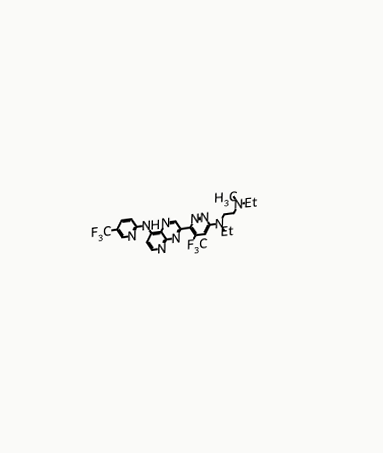 CCN(C)CCN(CC)c1cc(C(F)(F)F)c(-c2cnc3c(Nc4ccc(C(F)(F)F)cn4)ccnc3n2)nn1